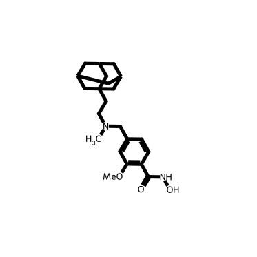 COc1cc(CN(C)CCC23CC4CC(CC(C4)C2)C3)ccc1C(=O)NO